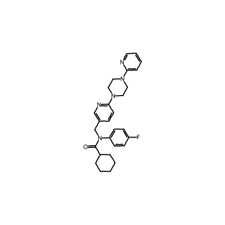 O=C(C1CCCCC1)N(Cc1ccc(N2CCN(c3ccccn3)CC2)nc1)c1ccc(F)cc1